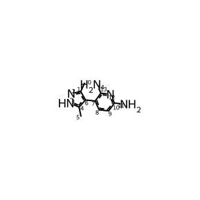 Cc1n[nH]c(C)c1-c1ccc(N)nc1N